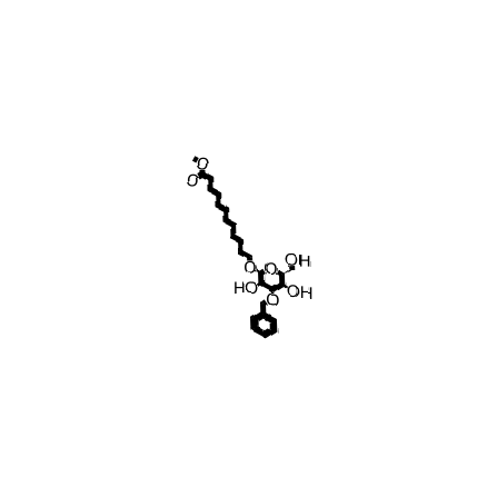 COC(=O)CCCCCCCCCCCO[C@H]1O[C@H](CO)[C@@H](O)[C@H](OCc2ccccc2)[C@H]1O